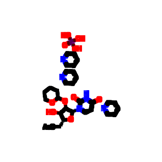 CC(=O)OC[C@H]1O[C@@H](n2ccc(=O)[nH]c2=O)[C@H](OC2CCCCO2)[C@@H]1O.O=P(O)(O)O.c1ccncc1.c1ccncc1.c1ccncc1